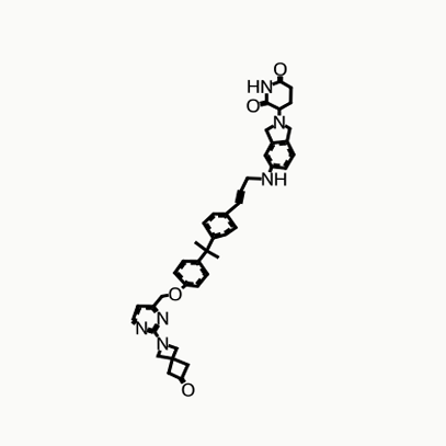 CC(C)(c1ccc(C#CCNc2ccc3c(c2)CN(C2CCC(=O)NC2=O)C3)cc1)c1ccc(OCc2ccnc(N3CC4(CC(=O)C4)C3)n2)cc1